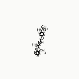 CC(=O)Nc1ccc(OCCNCC(O)COc2ncccc2C)cc1